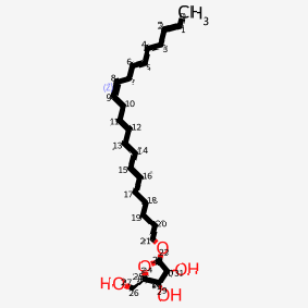 CCCCCCCC/C=C\CCCCCCCCCCCCOC1O[C@H](CO)[C@H](O)[C@H]1O